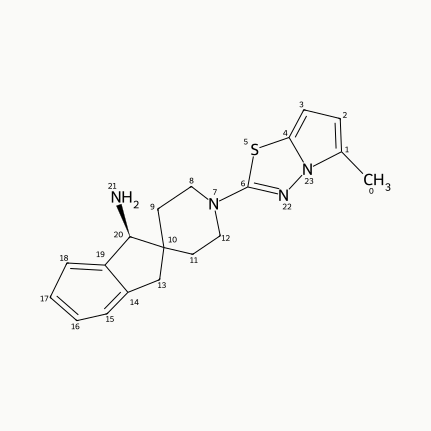 Cc1ccc2sc(N3CCC4(CC3)Cc3ccccc3[C@H]4N)nn12